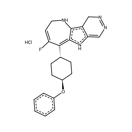 Cl.FC1=CCNc2c3c([nH]c2=C1[C@H]1CC[C@H](Oc2ccccc2)CC1)=CN=NC3